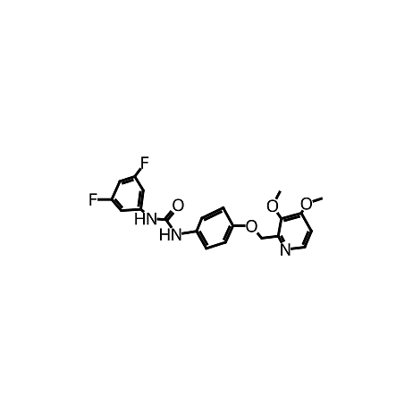 COc1ccnc(COc2ccc(NC(=O)Nc3cc(F)cc(F)c3)cc2)c1OC